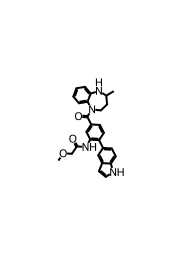 COCC(=O)Nc1cc(C(=O)N2CCC(C)Nc3ccccc32)ccc1-c1ccc2[nH]ccc2c1